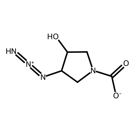 N=[N+]=NC1CN(C(=O)[O-])CC1O